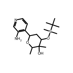 CC1OC(c2ccncc2N)CC(O[Si](C)(C)C(C)(C)C)C1(C)O